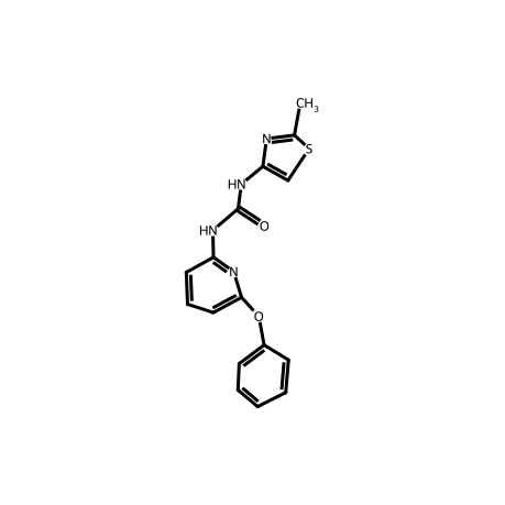 Cc1nc(NC(=O)Nc2cccc(Oc3ccccc3)n2)cs1